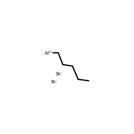 CCCC[CH2][Al+2].[Br-].[Br-]